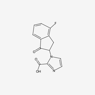 O=C(O)c1nccn1C1Cc2c(F)cccc2C1=O